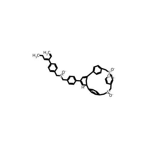 C=C/C(=C\CC)c1ccc(C[S+]([O-])Cc2ccc(C3=C[C@H]4CC(=C3)c3ccc(cc3)C[S+]([O-])C/C=C(\C=C/C)C[S+]([O-])Cc3ccc4cc3)cc2)cc1